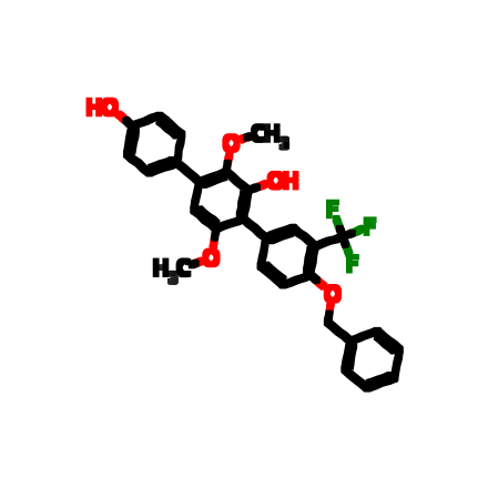 COc1cc(-c2ccc(O)cc2)c(OC)c(O)c1-c1ccc(OCc2ccccc2)c(C(F)(F)F)c1